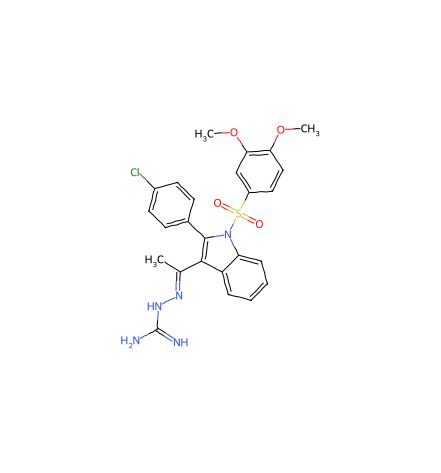 COc1ccc(S(=O)(=O)n2c(-c3ccc(Cl)cc3)c(C(C)=NNC(=N)N)c3ccccc32)cc1OC